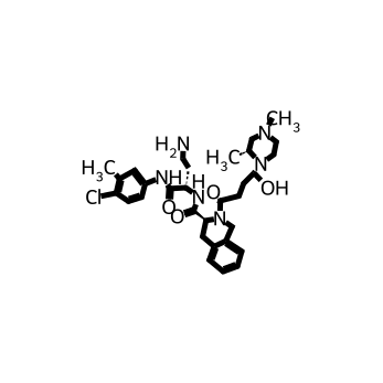 Cc1cc(NC(=O)[C@H](CCN)NC(=O)[C@@H]2Cc3ccccc3CN2C(=O)CCC(O)N2CCN(C)C[C@H]2C)ccc1Cl